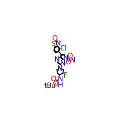 CN(C)S(=O)(=O)n1cc(-c2ccc3sc(=O)n(C)c3c2Cl)c2ncc(N3CC[C@H](NC(=O)OC(C)(C)C)[C@H](F)C3)nc21